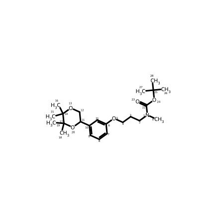 CN(CCCOc1cccc(C2COC(C)(C)C(C)(C)O2)c1)C(=O)OC(C)(C)C